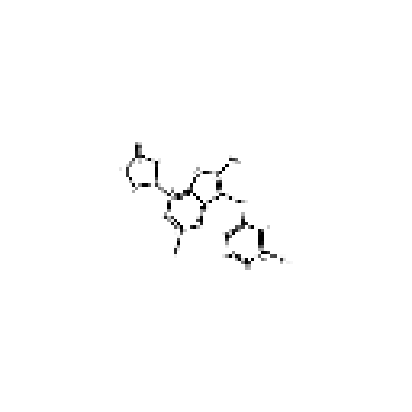 CC(=O)c1oc2c(C3CCNC3)cc(F)cc2c1Cc1cccc(F)c1